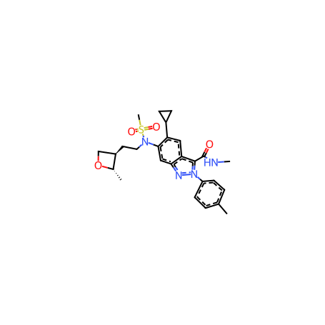 CNC(=O)c1c2cc(C3CC3)c(N(CC[C@@H]3CO[C@H]3C)S(C)(=O)=O)cc2nn1-c1ccc(C)cc1